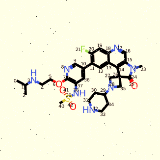 CC(C)NCCOc1ncc(-c2cc3c4c(cnc3cc2F)N(C)C(=O)C42CN(C3CCNCC3)C2)cc1NS(C)(=O)=O